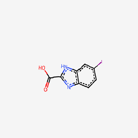 O=C(O)c1nc2ccc(I)cc2[nH]1